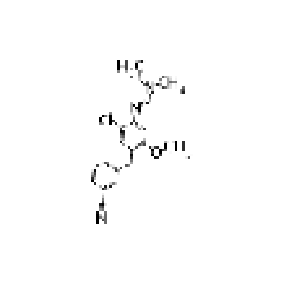 CCN(C)C=Nc1cc(OC)c(Cc2cccc(C#N)c2)cc1Cl